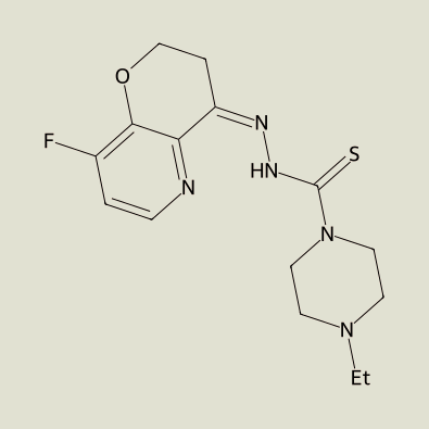 CCN1CCN(C(=S)N/N=C2/CCOc3c(F)ccnc32)CC1